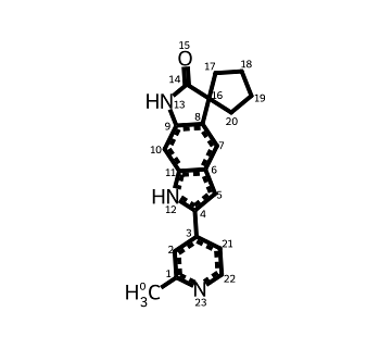 Cc1cc(-c2cc3cc4c(cc3[nH]2)NC(=O)C42CCCC2)ccn1